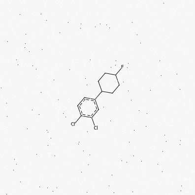 FC1CC[C](c2ccc(Cl)c(Cl)c2)CC1